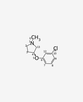 CN1CC[C@H](Oc2cccc(Cl)c2)C1